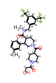 Cc1cccc(C2CN(C(=O)C3CCN(C(=O)CO)CC3)CCC2C(=O)N(C)Cc2cc(C(F)(F)F)cc(C(F)(F)F)c2)c1